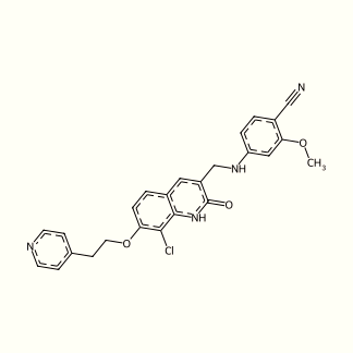 COc1cc(NCc2cc3ccc(OCCc4ccncc4)c(Cl)c3[nH]c2=O)ccc1C#N